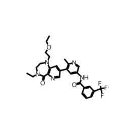 CCOCCN1CCN(CC)C(=O)c2ncc(-c3cc(NC(=O)c4cccc(C(F)(F)F)c4)cnc3C)cc21